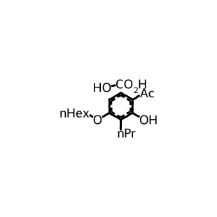 CCCCCCOc1ccc(C(C)=O)c(O)c1CCC.O=C(O)O